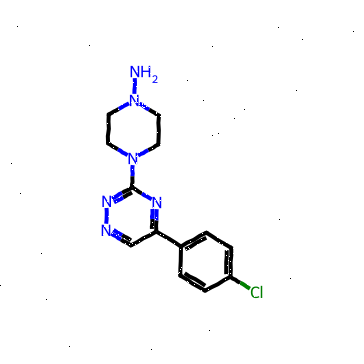 NN1CCN(c2nncc(-c3ccc(Cl)cc3)n2)CC1